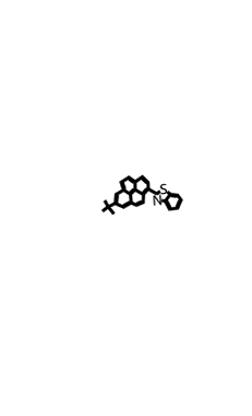 CC(C)(C)c1cc2ccc3ccc(-c4nc5ccccc5s4)c4ccc(c1)c2c34